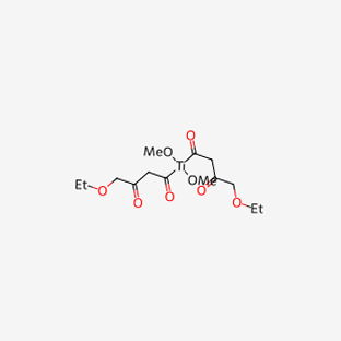 CCOCC(=O)C[C](=O)[Ti]([O]C)([O]C)[C](=O)CC(=O)COCC